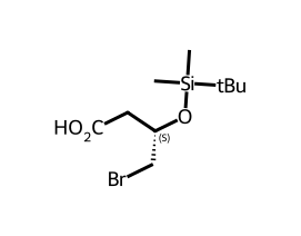 CC(C)(C)[Si](C)(C)O[C@H](CBr)CC(=O)O